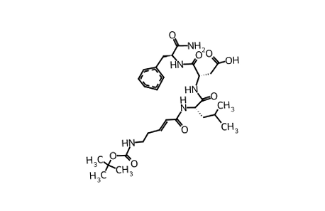 CC(C)C[C@H](NC(=O)C=CCCNC(=O)OC(C)(C)C)C(=O)N[C@@H](CC(=O)O)C(=O)N[C@@H](Cc1ccccc1)C(N)=O